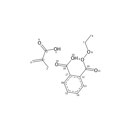 C=C(C)C(=O)O.CCOOC(=O)c1ccccc1C(=O)O